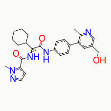 Cc1ncc(CO)cc1-c1ccc(NC(=O)[C@@H](NC(=O)c2ccnn2C)C2CCCCC2)cc1